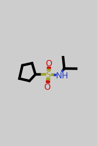 CC(C)NS(=O)(=O)C1CCCC1